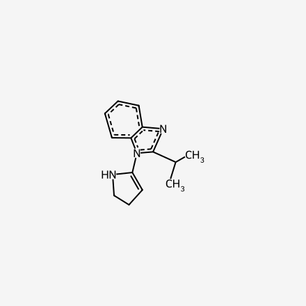 CC(C)c1nc2ccccc2n1C1=CCCN1